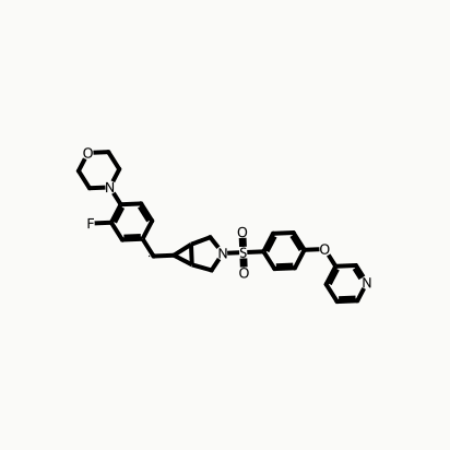 O=S(=O)(c1ccc(Oc2cccnc2)cc1)N1CC2C([CH]c3ccc(N4CCOCC4)c(F)c3)C2C1